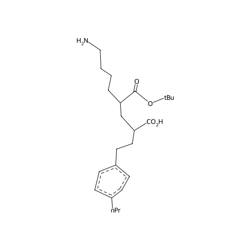 CCCc1ccc(CCC(CC(CCCCN)C(=O)OC(C)(C)C)C(=O)O)cc1